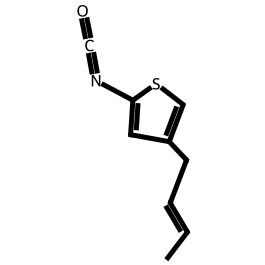 CC=CCc1csc(N=C=O)c1